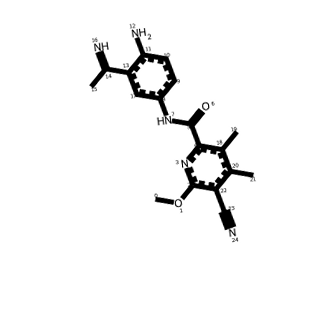 COc1nc(C(=O)Nc2ccc(N)c(C(C)=N)c2)c(C)c(C)c1C#N